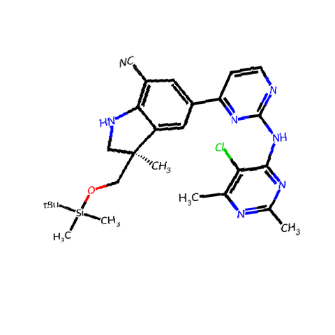 Cc1nc(C)c(Cl)c(Nc2nccc(-c3cc(C#N)c4c(c3)[C@@](C)(CO[Si](C)(C)C(C)(C)C)CN4)n2)n1